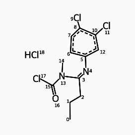 CCCC(=Nc1ccc(Cl)c(Cl)c1)N(C)C(=O)Cl.Cl